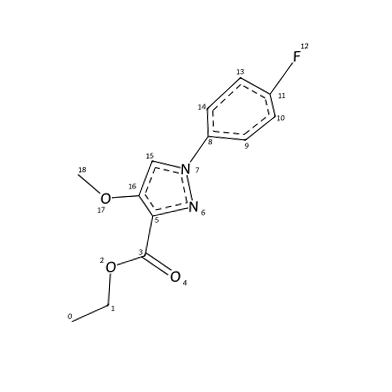 CCOC(=O)c1nn(-c2ccc(F)cc2)cc1OC